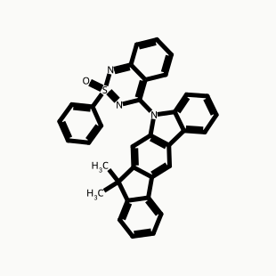 CC1(C)c2ccccc2-c2cc3c4ccccc4n(C4=c5ccccc5=NS(=O)(c5ccccc5)=N4)c3cc21